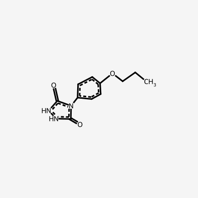 CCCOc1ccc(-n2c(=O)[nH][nH]c2=O)cc1